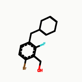 OCc1c(Br)ccc(CC2CCCCC2)c1F